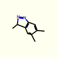 Cc1cc2c(cc1C)C(C)N=N2